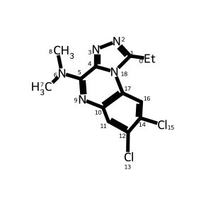 CCc1nnc2c(N(C)C)nc3cc(Cl)c(Cl)cc3n12